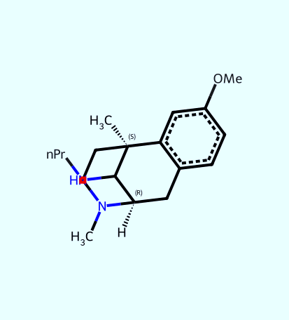 CCCNC1[C@H]2Cc3ccc(OC)cc3[C@]1(C)CCN2C